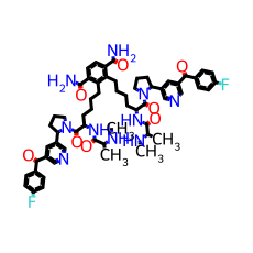 CNC(C)C(=O)NC(CCCCc1c(C(N)=O)ccc(C(N)=O)c1CCCCC(NC(=O)C(C)NC)C(=O)N1CCCC1c1cncc(C(=O)c2ccc(F)cc2)c1)C(=O)N1CCCC1c1cncc(C(=O)c2ccc(F)cc2)c1